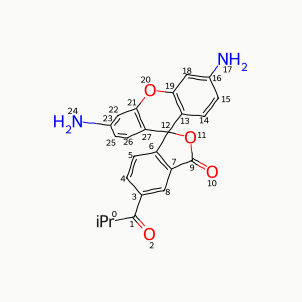 CC(C)C(=O)c1ccc2c(c1)C(=O)OC21c2ccc(N)cc2Oc2cc(N)ccc21